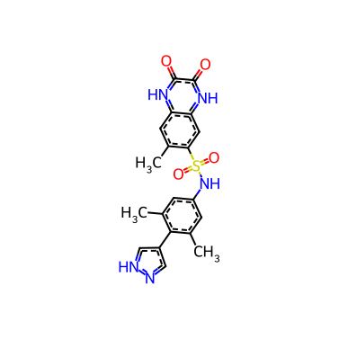 Cc1cc2[nH]c(=O)c(=O)[nH]c2cc1S(=O)(=O)Nc1cc(C)c(-c2cn[nH]c2)c(C)c1